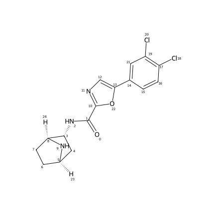 O=C(N[C@@H]1C[C@H]2CC[C@@H]1N2)c1ncc(-c2ccc(Cl)c(Cl)c2)o1